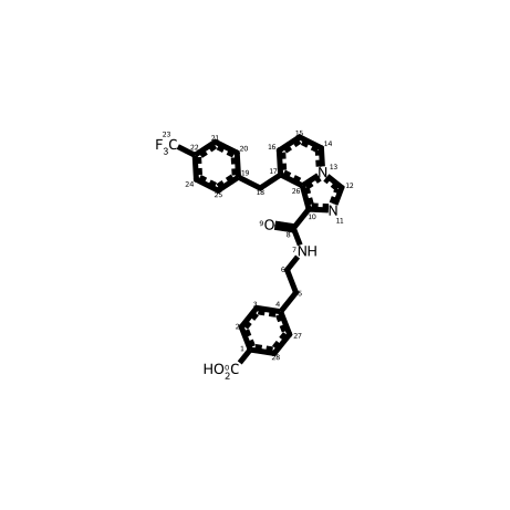 O=C(O)c1ccc(CCNC(=O)c2ncn3cccc(Cc4ccc(C(F)(F)F)cc4)c23)cc1